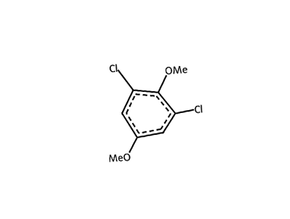 COc1cc(Cl)c(OC)c(Cl)c1